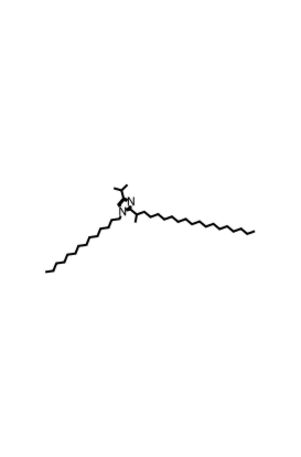 CCCCCCCCCCCCCCCCCC(C)c1nc(C(C)C)cn1CCCCCCCCCCCCCC